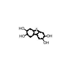 Oc1cc2sc3cc(O)c(O)cc3c2cc1O